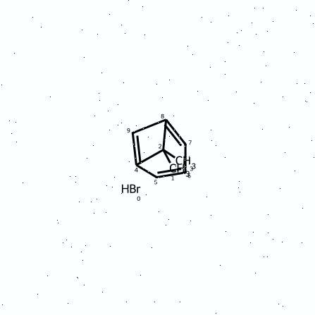 Br.CC1(C)c2cccc1c2